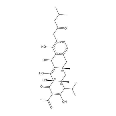 CC(=O)C1=C(O)C(C(C)C)[C@@]2(C)C[C@@]3(C)Cc4ccc(CC(=O)CC(C)C)c(O)c4C(=O)C3=C(O)[C@@]2(O)C1=O